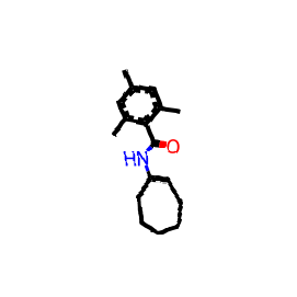 Cc1cc(C)c(C(=O)NC2CCCCCC2)c(C)c1